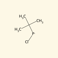 CC(C)(C)[P]Cl